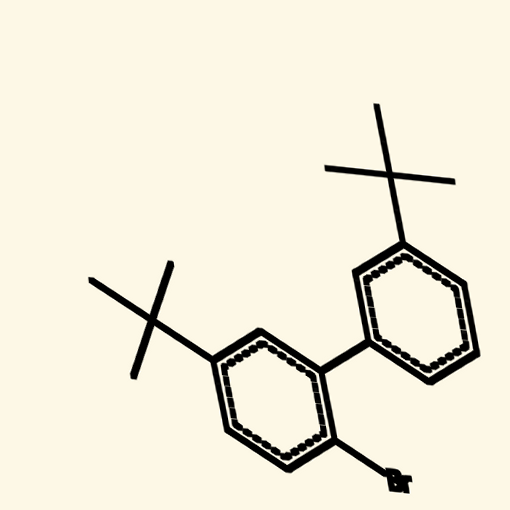 CC(C)(C)c1cccc(-c2cc(C(C)(C)C)ccc2Br)c1